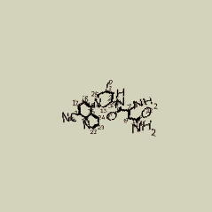 C[C@H]1C[C@@H](NC(=O)C(N)CC(N)=O)CN(c2ccc(C#N)c3ncccc23)C1